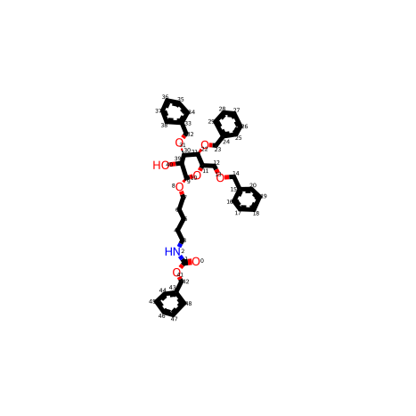 O=C(NCCCCCO[C@@H]1OC(COCc2ccccc2)[C@H](OCc2ccccc2)[C@@H](OCc2ccccc2)C1O)OCc1ccccc1